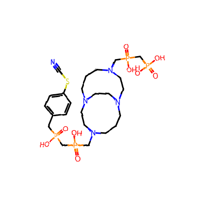 N#CSc1ccc(CP(=O)(O)CP(=O)(O)CN2CCCN3CCN(CCCN(CP(=O)(O)CP(=O)(O)O)CC3)CC2)cc1